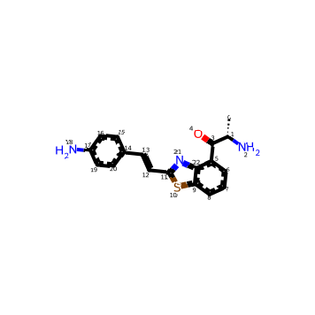 C[C@H](N)C(=O)c1cccc2sc(C=Cc3ccc(N)cc3)nc12